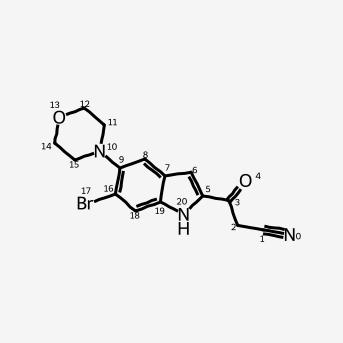 N#CCC(=O)c1cc2cc(N3CCOCC3)c(Br)cc2[nH]1